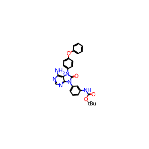 CC(C)(C)OC(=O)Nc1cccc(-n2c(=O)n(-c3ccc(Oc4ccccc4)cc3)c3c(N)ncnc32)c1